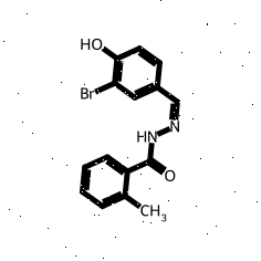 Cc1ccccc1C(=O)N/N=C\c1ccc(O)c(Br)c1